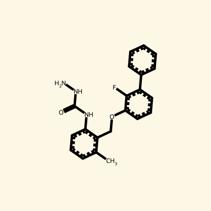 Cc1cccc(NC(=O)NN)c1COc1cccc(-c2ccccc2)c1F